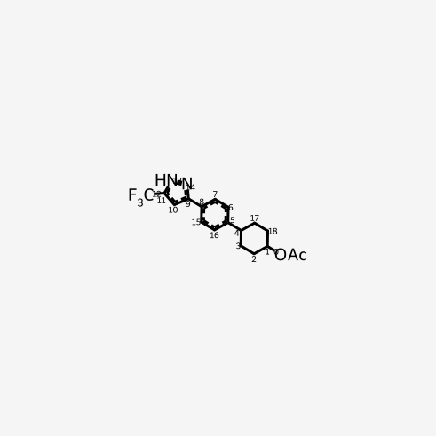 CC(=O)OC1CCC(c2ccc(-c3cc(C(F)(F)F)[nH]n3)cc2)CC1